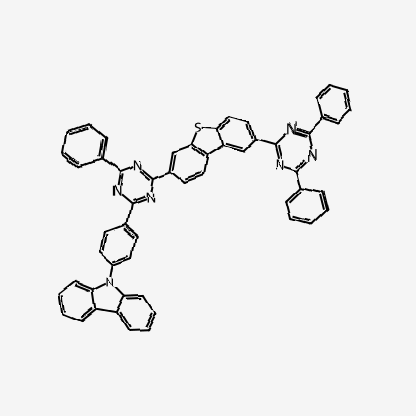 c1ccc(-c2nc(-c3ccc(-n4c5ccccc5c5ccccc54)cc3)nc(-c3ccc4c(c3)sc3ccc(-c5nc(-c6ccccc6)nc(-c6ccccc6)n5)cc34)n2)cc1